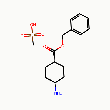 CS(=O)(=O)O.N[C@H]1CC[C@@H](C(=O)OCc2ccccc2)CC1